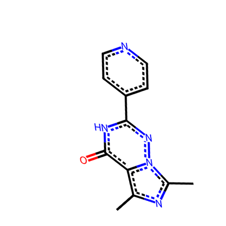 Cc1nc(C)n2nc(-c3ccncc3)[nH]c(=O)c12